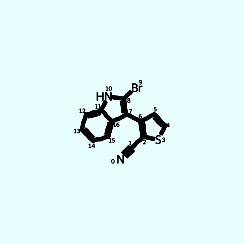 N#Cc1sccc1-c1c(Br)[nH]c2ccccc12